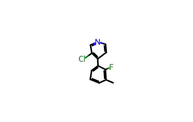 Cc1cccc(-c2ccncc2Cl)c1F